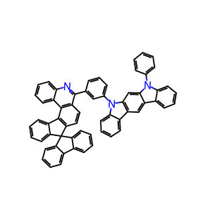 c1ccc(-n2c3ccccc3c3cc4c5ccccc5n(-c5cccc(-c6nc7ccccc7c7c8c(ccc67)C6(c7ccccc7-c7ccccc76)c6ccccc6-8)c5)c4cc32)cc1